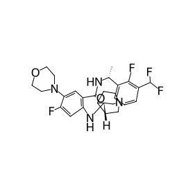 C[C@@H](NC(=O)c1cc(N2CCOCC2)c(F)cc1N[C@H]1CN2CCC1CC2)c1cccc(C(F)F)c1F